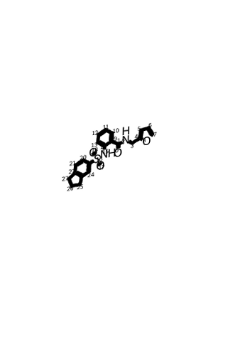 O=C(NCc1ccco1)c1ccccc1NS(=O)(=O)c1ccc2c(c1)CCC2